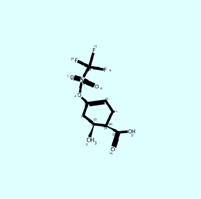 C[C@H]1CC(OS(=O)(=O)C(F)(F)F)=CC[C@H]1C(=O)O